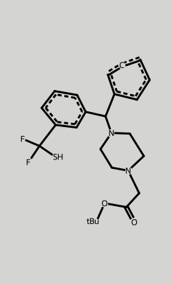 CC(C)(C)OC(=O)CN1CCN(C(c2ccccc2)c2cccc(C(F)(F)S)c2)CC1